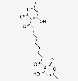 Cc1cc(O)c(C(=O)CCCCCCCC(=O)c2c(O)cc(C)oc2=O)c(=O)o1